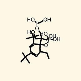 CCC1C=C(C(C)(C)C)C=C(C(C)(C)C)C1(OP(O)O)C(CO)(CO)COP(O)O